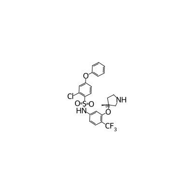 C[C@@]1(Oc2cc(NS(=O)(=O)c3ccc(Oc4ccccc4)cc3Cl)ccc2C(F)(F)F)CCNC1